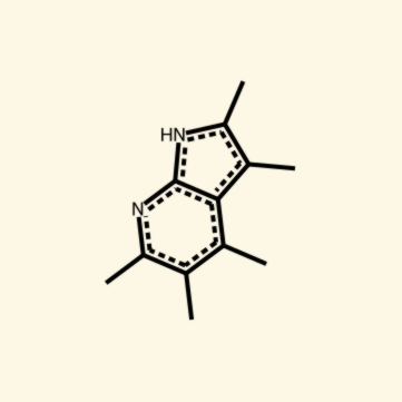 Cc1nc2[nH]c(C)c(C)c2c(C)c1C